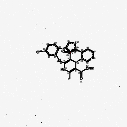 COC(=O)C1=C(C)NC(C)=C(C(=O)OC)C1c1ccccc1-c1nc(-c2ccc(Cl)cc2Cl)cs1